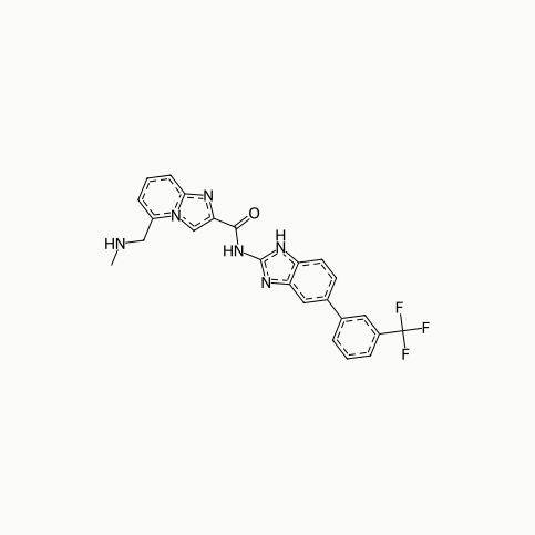 CNCc1cccc2nc(C(=O)Nc3nc4cc(-c5cccc(C(F)(F)F)c5)ccc4[nH]3)cn12